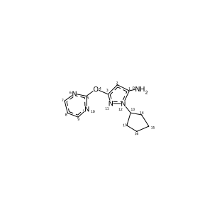 Nc1cc(Oc2ncccn2)nn1C1CCCC1